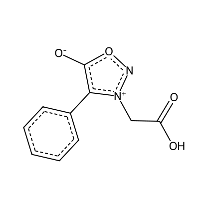 O=C(O)C[n+]1noc([O-])c1-c1ccccc1